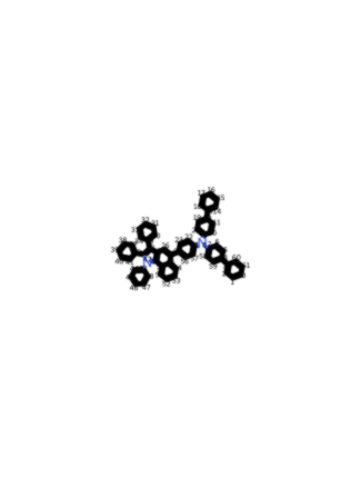 c1ccc(-c2ccc(N(c3ccc(-c4ccccc4)cc3)c3ccc(-c4cc5c(-c6ccccc6)c(-c6ccccc6)n(-c6ccccc6)c5c5ccccc45)cc3)cc2)cc1